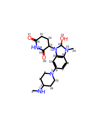 CNC1CCN(c2ccc3c(c2)N(C2CCC(=O)NC2=O)C(O)N3C)CC1